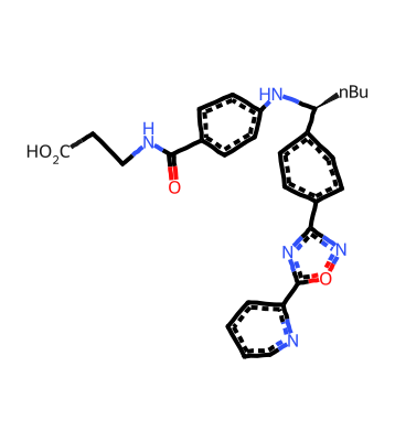 CCCC[C@H](Nc1ccc(C(=O)NCCC(=O)O)cc1)c1ccc(-c2noc(-c3ccccn3)n2)cc1